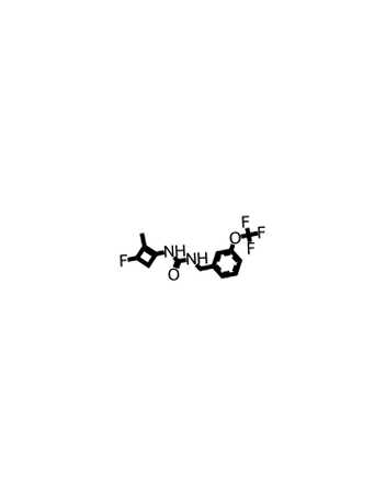 CC1=C(NC(=O)NCc2cccc(OC(F)(F)F)c2)CC1F